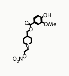 COc1cc(C(=O)OCC2CCN(CCO[N+](=O)[O-])CC2)ccc1O